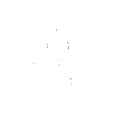 CC(=O)NC1=C(C)C(=O)C(C)C(=O)C1